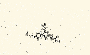 C[C@@]1(c2ccc(OCCC3CC3)c(Cl)c2)NC(=O)N(C23CC(C(=O)O)(C2)C3)C=C1C1CC(F)(F)C1